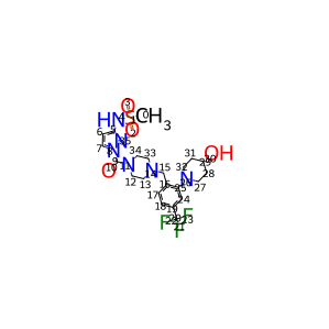 CS(=O)(=O)Nc1ccn(C(=O)N2CCN(Cc3ccc(C(F)(F)F)cc3N3CCC(O)CC3)CC2)n1